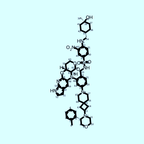 Cc1ccccc1[C@H]1COCCN1C1CC2(CCN(c3ccc(C(=O)NS(=O)(=O)c4ccc(NC[C@H]5CC[C@](C)(O)CC5)c([N+](=O)[O-])c4)c(N4c5cc6cc[nH]c6nc5O[C@@H]5CCOC[C@H]54)c3)CC2)C1